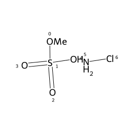 COS(=O)(=O)O.NCl